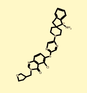 N[C@@H]1c2ccccc2CC12CCN(c1cnc(Sc3ccc4ncn(CC5CCOC5)c(=O)c4c3Cl)cn1)CC2